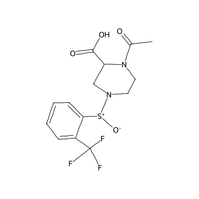 CC(=O)N1CCN([S+]([O-])c2ccccc2C(F)(F)F)CC1C(=O)O